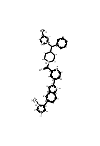 Cc1nnn(C(c2ccccc2)C2CCN(C(=O)c3cc(-c4cc5cc(-c6cncn6C)ccc5o4)ccn3)CC2)n1